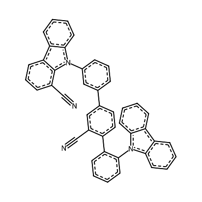 N#Cc1cc(-c2cccc(-n3c4ccccc4c4cccc(C#N)c43)c2)ccc1-c1ccccc1-n1c2ccccc2c2ccccc21